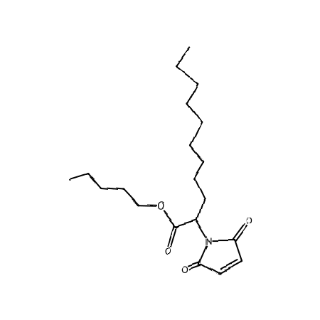 CCCCCCCCCC(C(=O)OCCCCC)N1C(=O)C=CC1=O